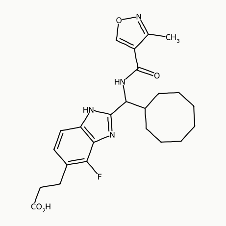 Cc1nocc1C(=O)NC(c1nc2c(F)c(CCC(=O)O)ccc2[nH]1)C1CCCCCCC1